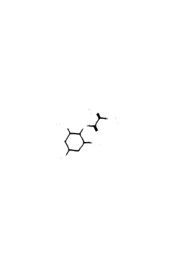 C=C(C)C(=O)OC1C(C)CC(O)CC1C